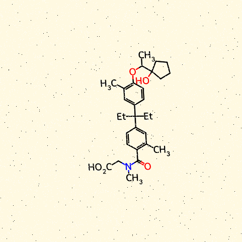 CCC(CC)(c1ccc(OC(C)C2(O)CCCC2)c(C)c1)c1ccc(C(=O)N(C)CC(=O)O)c(C)c1